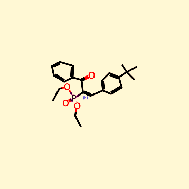 CCOP(=O)(OCC)/C(=C/c1ccc(C(C)(C)C)cc1)C(=O)c1ccccc1